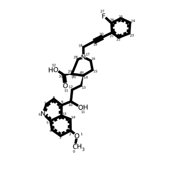 COc1ccc2nccc(C(O)CC[C@@H]3CCN(CC#Cc4ccccc4F)C[C@@H]3C(=O)O)c2c1